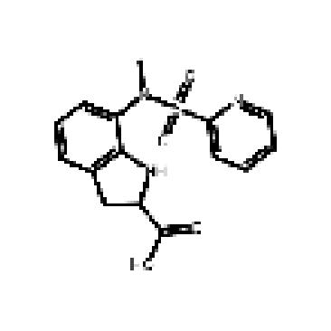 CN(c1cccc2c1NC(C(=O)O)C2)S(=O)(=O)c1ccccn1